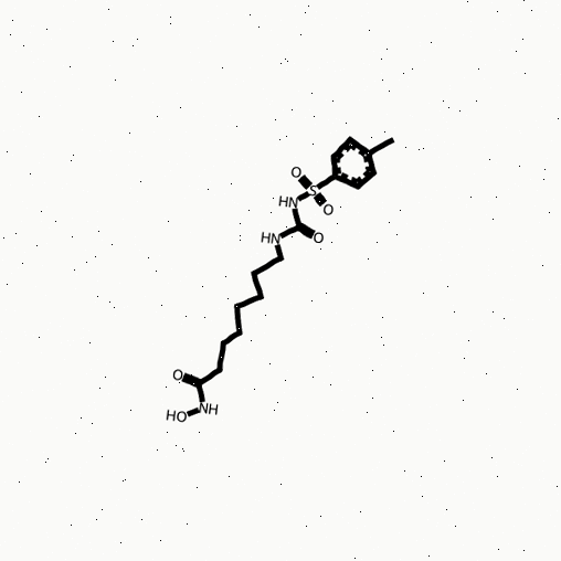 Cc1ccc(S(=O)(=O)NC(=O)NCCCCCCCC(=O)NO)cc1